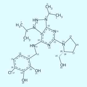 CC(C)N1NN(C(C)C)c2c(NCc3ccc(Cl)c(O)c3O)nc(N3CCC[C@@H]3CO)nc21